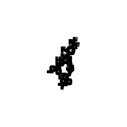 CCOC(=O)NCc1cnc(-c2ccc(C(F)(F)F)cc2F)nc1N1CCC(CNC(=O)OC(C)(C)C)C1